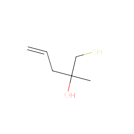 C=CCC(C)(O)CS